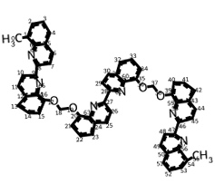 Cc1cccc2ccc(-c3ccc4cccc(OCOc5cccc6ccc(-c7ccc8cccc(OCOc9cccc%10ccc(-c%11ccc%12cccc(C)c%12n%11)nc9%10)c8n7)nc56)c4n3)nc12